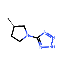 C[C@H]1CCN(c2nn[nH]n2)C1